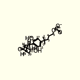 CC(C)(CCCO[N+](=O)[O-])c1cc(O)c([C@@H]2CC(=O)[C@@H]3C[C@H]2C3(C)C)c(O)c1